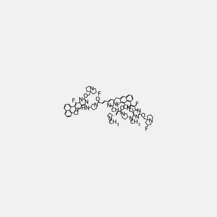 Cc1nc(/C=C/C(=O)N2CC[C@@H](Nc3nc(OC[C@@]45CCCN4C[C@H](F)C5)nc4c(F)c(-c5cccc6cccc(Cl)c56)ncc34)C2)cc(Cc2cc3cccc(-c4ncc5c(N(C)[C@@H]6CCN(C(=O)/C=C/[C@H]7CCN7C)C6)nc(OC[C@@]67CCCN6C[C@H](F)C7)nc5c4F)c3c(C)c2F)n1